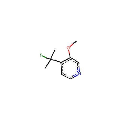 COc1cnccc1C(C)(C)F